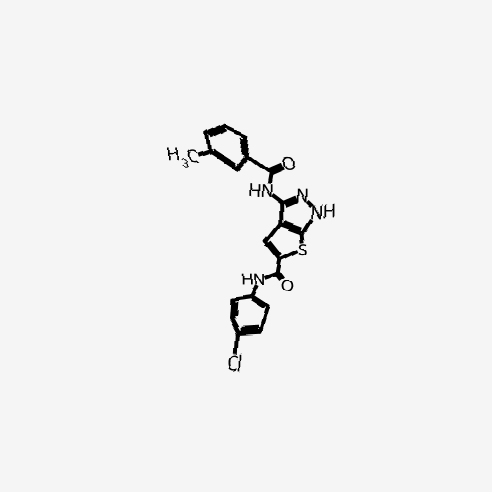 Cc1cccc(C(=O)Nc2n[nH]c3sc(C(=O)Nc4ccc(Cl)cc4)cc23)c1